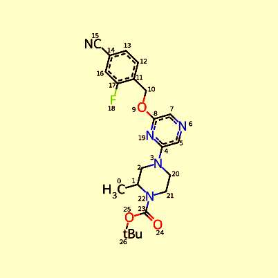 CC1CN(c2cncc(OCc3ccc(C#N)cc3F)n2)CCN1C(=O)OC(C)(C)C